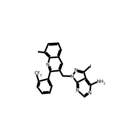 Cc1cccc2cc(Cn3nc(I)c4c(N)ncnc43)c(-c3ccccc3C(F)(F)F)nc12